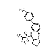 Cc1ccc(-c2ccc(O[C@H]3COC[C@H]3NS(=O)(=O)C(C)C)cc2)cc1